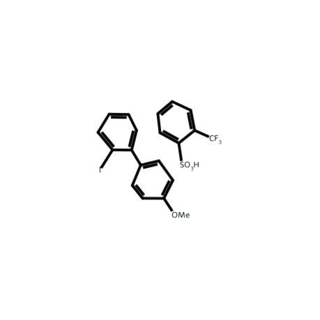 COc1ccc(-c2ccccc2I)cc1.O=S(=O)(O)c1ccccc1C(F)(F)F